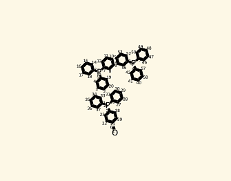 C=O.c1ccc(P(c2ccccc2)c2ccccc2)cc1.c1ccc(P(c2ccccc2)c2ccccc2)cc1.c1ccc(P(c2ccccc2)c2ccccc2)cc1